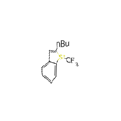 CCCCc1cc2ccccc2[s+]1C(F)(F)F